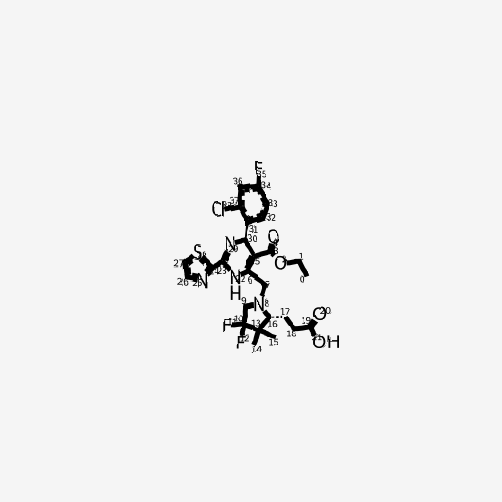 CCOC(=O)C1=C(CN2CC(F)(F)C(C)(C)[C@H]2CCC(=O)O)NC(c2nccs2)=N[C@H]1c1ccc(F)cc1Cl